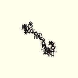 COC(=O)C[C@@H]1N=C(c2ccc(-c3ccc(C(=O)N[C@H]4C[C@@H](Oc5ccc6oc(C(=O)NC(C(=O)N7CCC[C@H]7C(=O)N[C@@H](C)c7ccc(-c8scnc8C)cc7)C(C)(C)C)cc6c5)C4)cc3)cc2)c2c(sc(C)c2C)-n2c(C)nnc21